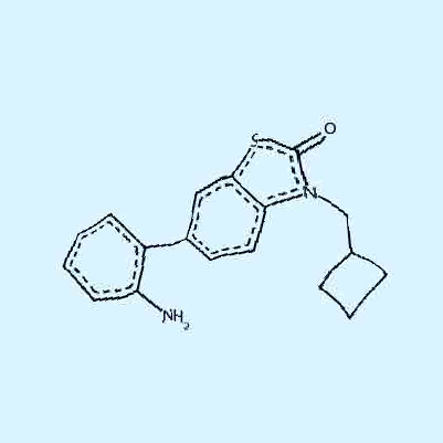 Nc1ccccc1-c1ccc2c(c1)sc(=O)n2CC1CCC1